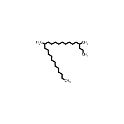 [CH2]C(CCCCCCCCCCCC)CCCCCCCCCC(C)CCC